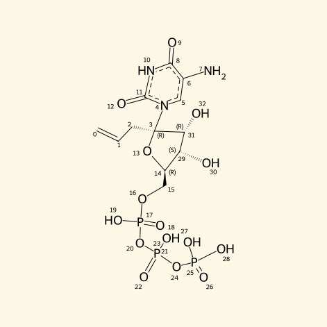 C=CC[C@@]1(n2cc(N)c(=O)[nH]c2=O)O[C@H](COP(=O)(O)OP(=O)(O)OP(=O)(O)O)[C@@H](O)[C@H]1O